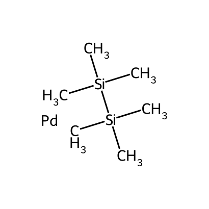 C[Si](C)(C)[Si](C)(C)C.[Pd]